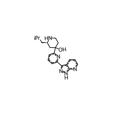 CC(C)C[C@@H]1CC(O)(c2cccc(-c3n[nH]c4ncccc34)n2)CCN1